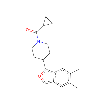 Cc1cc2coc(C3CCN(C(=O)C4CC4)CC3)c2cc1C